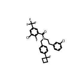 O=C(c1cc(C(F)(F)F)cc(Cl)c1F)N(CCc1cccc(Cl)c1)Cc1ccc(C2(F)CCC2)cc1